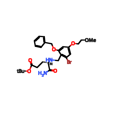 COCCOc1cc(Br)c(CN[C@@H](CCC(=O)OC(C)(C)C)C(N)=O)c(OCc2ccccc2)c1